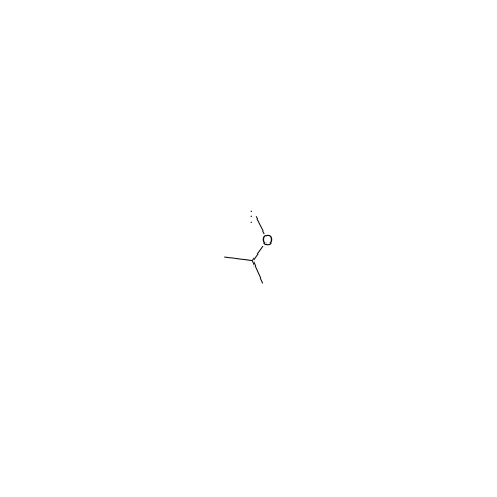 [C]OC(C)C